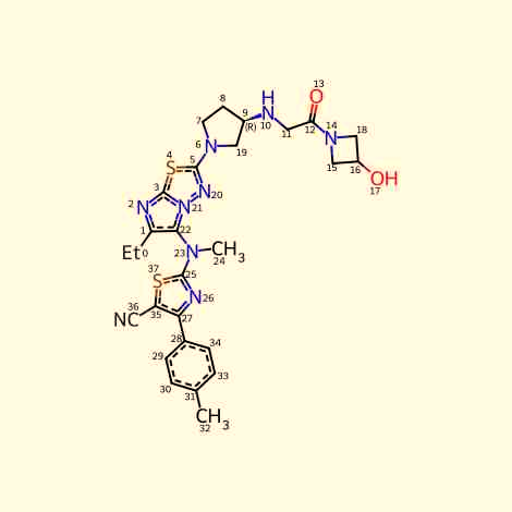 CCc1nc2sc(N3CC[C@@H](NCC(=O)N4CC(O)C4)C3)nn2c1N(C)c1nc(-c2ccc(C)cc2)c(C#N)s1